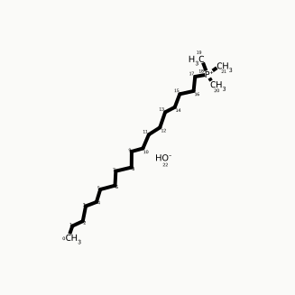 CCCCCCCCCCCCCCCCCC[P+](C)(C)C.[OH-]